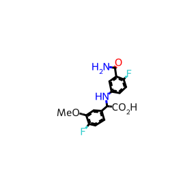 COc1cc(C(Nc2ccc(F)c(C(N)=O)c2)C(=O)O)ccc1F